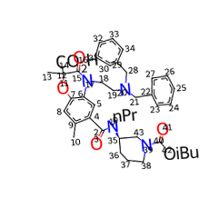 CCCN(C(=O)c1cc2c(cc1C)OC(C)(C(=O)O)C(=O)N2CCN(Cc1ccccc1)Cc1ccccc1)[C@@H]1CCCN(C(=O)OCC(C)C)C1